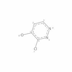 [O]c1ccnnc1Cl